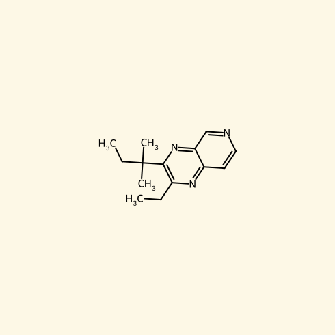 CCc1nc2ccncc2nc1C(C)(C)CC